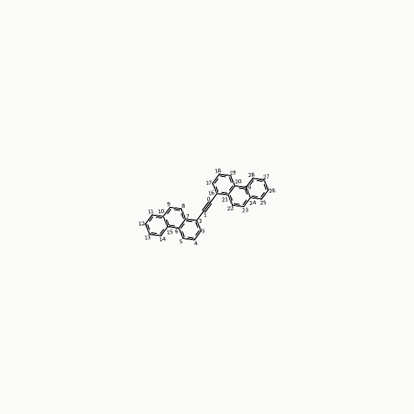 C(#Cc1cccc2c1ccc1ccccc12)c1cccc2c1ccc1ccccc12